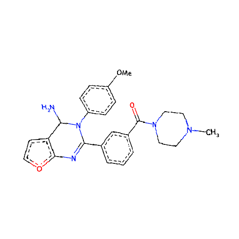 COc1ccc(N2C(c3cccc(C(=O)N4CCN(C)CC4)c3)=Nc3occc3C2N)cc1